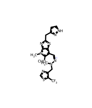 CN(Cc1ncsc1C(F)(F)F)/N=C\c1c(C=O)n(C)c2nc(Cc3cc[nH]n3)sc12